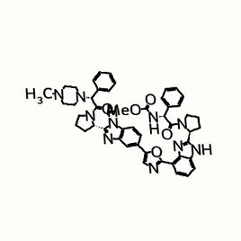 COC(=O)N[C@@H](C(=O)N1CCC[C@H]1c1nc2c(-c3ncc(-c4ccc5[nH]c([C@@H]6CCCN6C(=O)[C@@H](c6ccccc6)N6CCN(C)CC6)nc5c4)o3)cccc2[nH]1)c1ccccc1